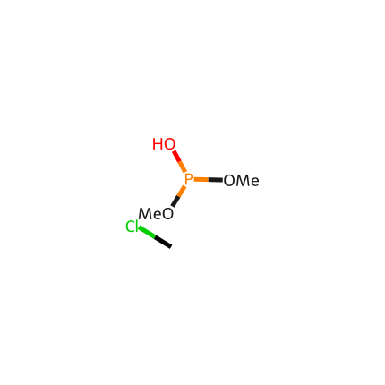 CCl.COP(O)OC